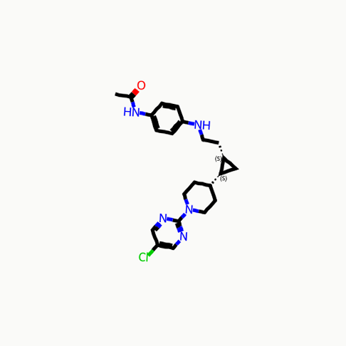 CC(=O)Nc1ccc(NCC[C@@H]2C[C@@H]2C2CCN(c3ncc(Cl)cn3)CC2)cc1